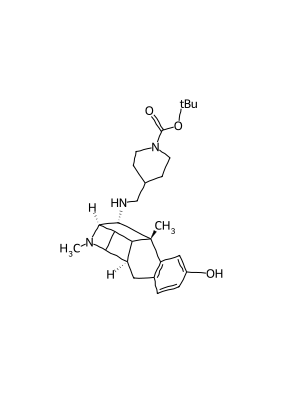 CN1C2C3C4[C@H]2Cc2ccc(O)cc2[C@@]4(C)[C@@H](NCC2CCN(C(=O)OC(C)(C)C)CC2)[C@@H]31